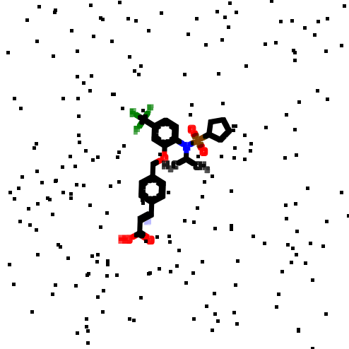 CC(C)N(c1ccc(C(F)(F)F)cc1OCc1ccc(/C=C/C(=O)O)cc1)S(=O)(=O)C1CCCC1